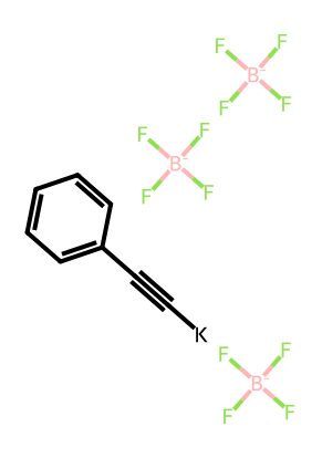 F[B-](F)(F)F.F[B-](F)(F)F.F[B-](F)(F)F.[K][C]#Cc1ccccc1